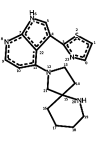 c1csc(-c2c[nH]c3nccc(N4CCC5(CCCCN5)C4)c23)n1